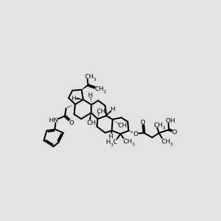 C=C(C)[C@@H]1CC[C@]2(CC(=O)Nc3ccccc3)CC[C@]3(C)[C@H](CC[C@@H]4[C@@]5(C)CC[C@H](OC(=O)CC(C)(C)C(=O)O)C(C)(C)[C@@H]5CC[C@]43C)[C@@H]12